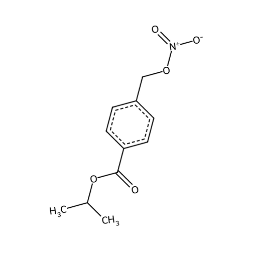 CC(C)OC(=O)c1ccc(CO[N+](=O)[O-])cc1